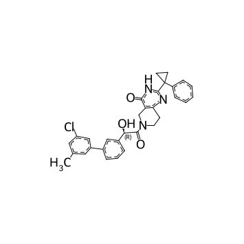 Cc1cc(Cl)cc(-c2cccc([C@@H](O)C(=O)N3CCc4nc(C5(c6ccccc6)CC5)[nH]c(=O)c4C3)c2)c1